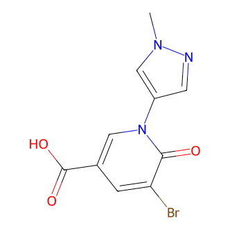 Cn1cc(-n2cc(C(=O)O)cc(Br)c2=O)cn1